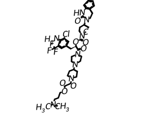 CN(C)CCCOC(=O)C(=O)N1CCC(N2CCN(C(=O)[C@@H](Cc3cc(Cl)c(N)c(C(F)(F)F)c3)OC(=O)N3CCC(N4CCc5ccccc5NC4=O)CC3)CC2)CC1